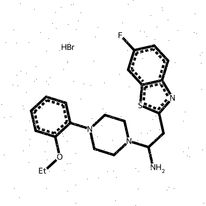 Br.CCOc1ccccc1N1CCN(C(N)Cc2nc3ccc(F)cc3s2)CC1